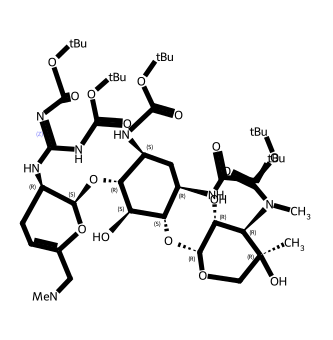 CNCC1=CC[C@@H](N/C(=N/C(=O)OC(C)(C)C)NC(=O)OC(C)(C)C)[C@@H](O[C@H]2[C@H](O)[C@@H](O[C@H]3OC[C@](C)(O)[C@H](N(C)C(=O)OC(C)(C)C)[C@H]3O)[C@H](NC(=O)CC(C)(C)C)C[C@@H]2NC(=O)OC(C)(C)C)O1